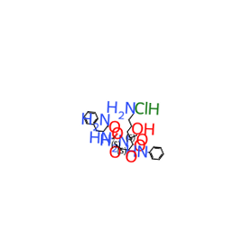 Cl.NCCCC[C@@](N)(C(=O)O)C(ONc1ccccc1)C(=O)[C@H]1O[C@@H]1C(=O)NC(Cc1ccccc1)C(N)=O